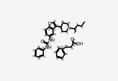 CCCC(C)N1CCC(c2coc3ccc(NC(=O)Nc4ccccc4)cc23)CC1.O=C(O)CCc1ccccc1